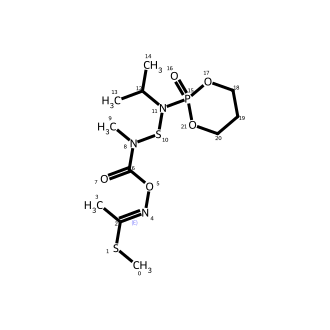 CS/C(C)=N/OC(=O)N(C)SN(C(C)C)P1(=O)OCCCO1